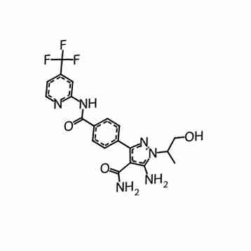 CC(CO)n1nc(-c2ccc(C(=O)Nc3cc(C(F)(F)F)ccn3)cc2)c(C(N)=O)c1N